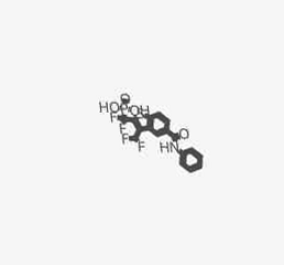 O=C(Nc1ccccc1)c1ccc2sc(C(F)(F)P(=O)(O)O)c(C(F)F)c2c1